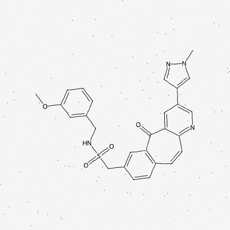 COc1cccc(CNS(=O)(=O)Cc2ccc3ccc4ncc(-c5cnn(C)c5)cc4c(=O)c3c2)c1